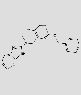 c1ccc(COc2ccc3c(c2)CN(c2nc4ccccc4[nH]2)CC3)cc1